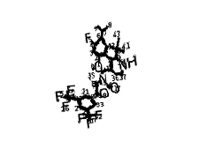 COc1cc(F)c(C(C)C)cc1C1=C(CN2C(=O)O[C@H](c3cc(C(F)(F)F)cc(C(F)(F)F)c3)[C@@H]2C)CCNC1C(C)(C)C